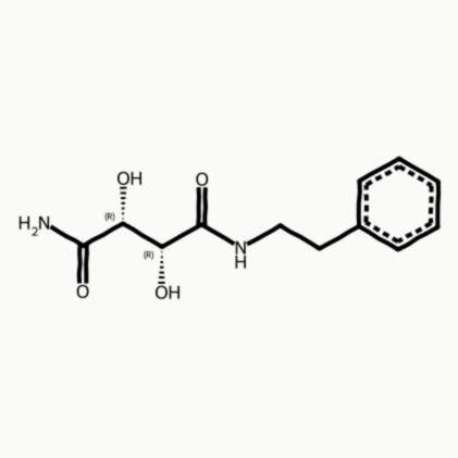 NC(=O)[C@H](O)[C@@H](O)C(=O)NCCc1ccccc1